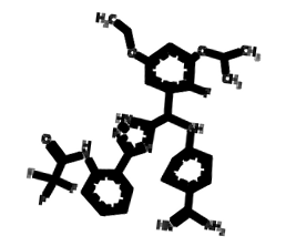 CCOc1cc(OC(C)C)c(F)c(C(Nc2ccc(C(=N)N)cc2)c2nc(-c3ccccc3NC(=O)C(F)(F)F)n[nH]2)c1